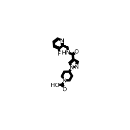 O=C(NCc1ncccc1F)c1cnn(C2CCN(C(=O)O)CC2)c1